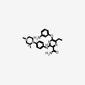 CCc1nc(C(N)=O)c(Nc2ccc(N3CCN(C)C[C@@H]3C)cc2)nc1Oc1cccc(N)c1